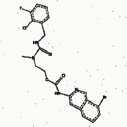 CN(CCOC(=O)Nc1cc2cccc(Br)c2cn1)C(=O)NCc1cccc(F)c1Cl